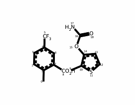 Cc1ccc(C(F)(F)F)cc1C(=O)O.Cc1sccc1OC(N)=O